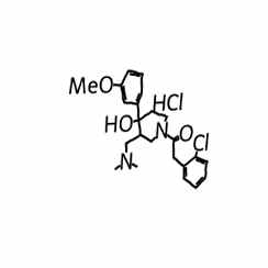 COc1cccc(C2(O)CCN(C(=O)Cc3ccccc3Cl)CC2CN(C)C)c1.Cl